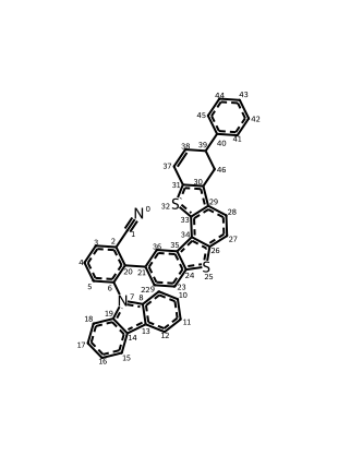 N#Cc1cccc(-n2c3ccccc3c3ccccc32)c1-c1ccc2sc3ccc4c5c(sc4c3c2c1)C=CC(c1ccccc1)C5